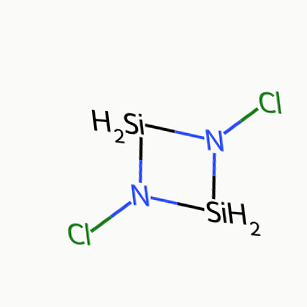 ClN1[SiH2]N(Cl)[SiH2]1